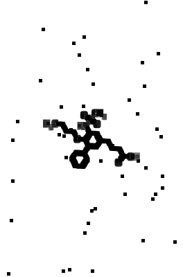 CCCCOc1c(NS(C)(=O)=O)cc(CCCC(=O)O)cc1-c1ccccc1